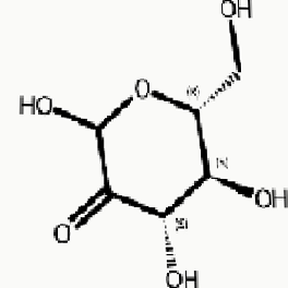 O=C1C(O)O[C@H](CO)[C@@H](O)[C@@H]1O